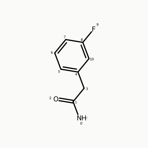 [NH]C(=O)Cc1cccc(F)c1